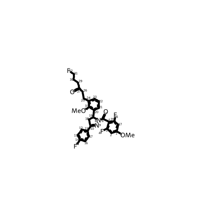 COc1cc(F)c(C(=O)N2N=C(c3ccc(F)cc3)CC2c2cccc(CCC(=O)CCCF)c2OC)c(F)c1